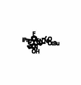 CC(C)Oc1cc(F)cc(F)c1-c1c(-c2cc3n(n2)C[C@@H](C)N(C(=O)OC(C)(C)C)C3)nc(O)c2ccsc12